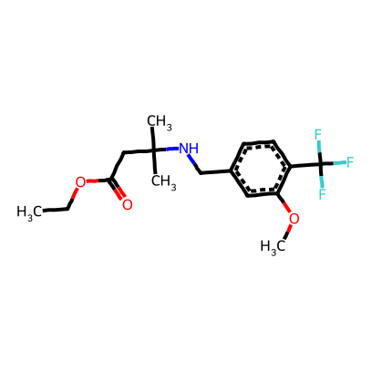 CCOC(=O)CC(C)(C)NCc1ccc(C(F)(F)F)c(OC)c1